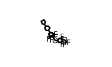 Fc1cc(OC(F)(F)c2c(F)cc(C3CCC(C4CCCC4)CC3)cc2F)cc(F)c1OC(F)F